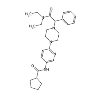 CCN(CC)C(=O)C(c1ccccc1)N1CCN(c2ccc(NC(=O)C3CCCC3)cn2)CC1